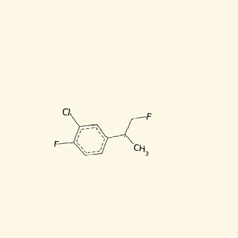 C[C](CF)c1ccc(F)c(Cl)c1